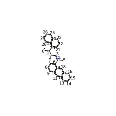 [CH2]C(C/C=C(/C)c1cccc2cc3ccccc3cc12)c1cccc2ccccc12